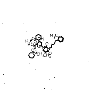 COC1(OC[C@@H](O)[C@@]2(OC3(OC)CCCCC3)O[C@@H](n3cc(C)c(=O)n(CCCCc4ccccc4C)c3=O)C[C@@H]2O)CCCCC1